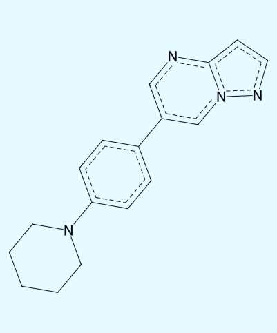 c1cc2ncc(-c3ccc(N4CCCCC4)cc3)cn2n1